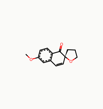 COc1ccc2c(c1)C=C[C@]1(CCCO1)C2=O